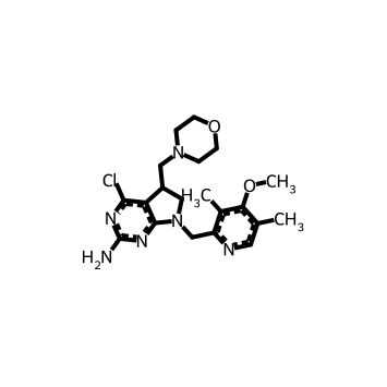 COc1c(C)cnc(CN2CC(CN3CCOCC3)c3c(Cl)nc(N)nc32)c1C